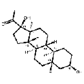 CC(=O)[C@@]1(O)CC[C@H]2[C@@H]3CC[C@H]4C[C@H](O)CC[C@]4(C)[C@H]3CC[C@@]21C